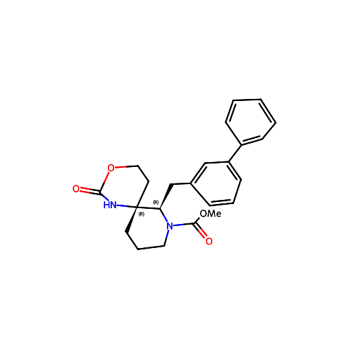 COC(=O)N1CCC[C@@]2(CCOC(=O)N2)[C@H]1Cc1cccc(-c2ccccc2)c1